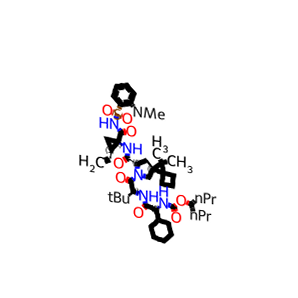 C=C[C@@H]1C[C@]1(NC(=O)[C@@H]1C[C@@]2(CN1C(=O)[C@@H](NC(=O)[C@@H](NC(=O)OC(CCC)CCC)C1CCCCC1)C(C)(C)C)C(C)(C)C21CCC1)C(=O)NS(=O)(=O)c1ccccc1NC